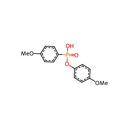 COc1ccc(OP(=O)(O)c2ccc(OC)cc2)cc1